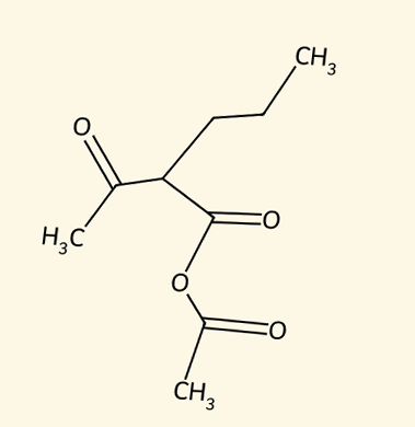 CCCC(C(C)=O)C(=O)OC(C)=O